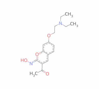 CCN(CC)CCOc1ccc2cc(C(C)=O)c(=NO)oc2c1